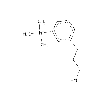 C[N+](C)(C)c1cccc(CCCO)c1